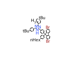 C/C=C(\C=C/CC(C)(C)C)C1=NC(c2ccc(C3(c4ccc(CCCCCC)cc4)c4cc(Br)ccc4-c4ccc(Br)cc43)cc2)NC(c2ccc(C(C)(C)C)cc2)=N1